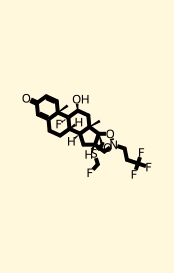 C[C@]12C=CC(=O)C=C1CC[C@H]1[C@@H]3C[C@H]4CN(CCC(F)(F)F)O[C@@]4(C(=O)SCF)[C@@]3(C)C[C@H](O)[C@@]12F